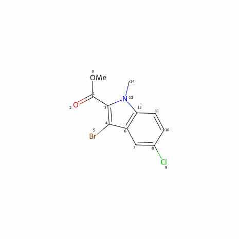 COC(=O)c1c(Br)c2cc(Cl)ccc2n1C